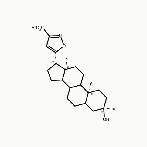 CCOC(=O)c1cc([C@H]2CCC3C4CCC5C[C@](C)(O)CC[C@]5(C)C4CC[C@@]32C)on1